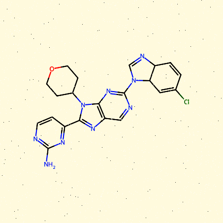 Nc1nccc(-c2nc3cnc(N4C=NC5C=CC(Cl)=CC54)nc3n2C2CCOCC2)n1